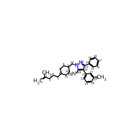 C=C(C)CCCC1CCC(Cn2nc(-c3ccccc3)c(-c3cccc(C)c3)c2CCC)CC1